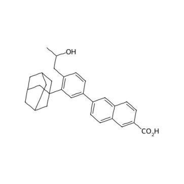 CC(O)Cc1ccc(-c2ccc3cc(C(=O)O)ccc3c2)cc1C12CC3CC(CC(C3)C1)C2